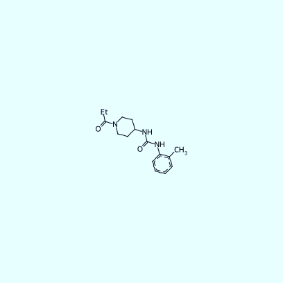 CCC(=O)N1CCC(NC(=O)Nc2ccccc2C)CC1